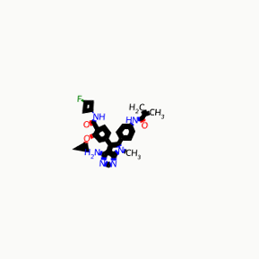 C=C(C)C(=O)Nc1ccc(-c2c(-c3ccc(C(=O)N[C@H]4C[C@H](F)C4)c(OC4CC4)c3)c3c(N)ncnc3n2C)cc1